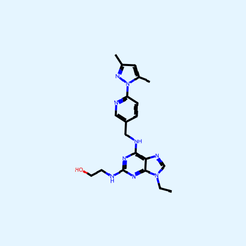 CCn1cnc2c(NCc3ccc(-n4nc(C)cc4C)nc3)nc(NCCO)nc21